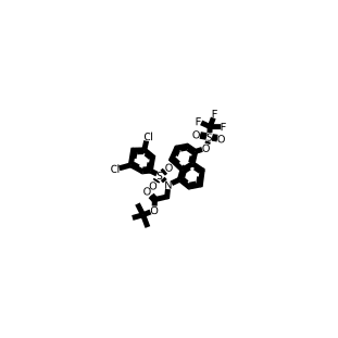 CC(C)(C)OC(=O)CN(c1cccc2c(OS(=O)(=O)C(F)(F)F)cccc12)S(=O)(=O)c1cc(Cl)cc(Cl)c1